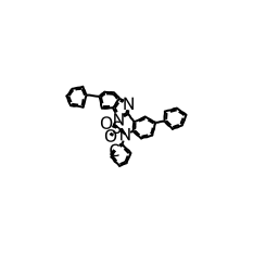 O=S1(=O)N(c2ccccc2)c2ccc(-c3ccccc3)cc2-c2nc3ccc(-c4ccccc4)cc3n21